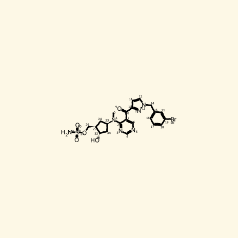 CN(c1ncncc1C(=O)c1ccn(Cc2cccc(Br)c2)n1)[C@@H]1C[C@H](COS(N)(=O)=O)[C@@H](O)C1